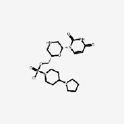 O=c1ccn([C@H]2CNC[C@@H](COP(=O)(Cl)N3CCC(N4CCCC4)CC3)O2)c(=O)[nH]1